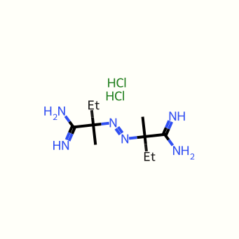 CCC(C)(N=NC(C)(CC)C(=N)N)C(=N)N.Cl.Cl